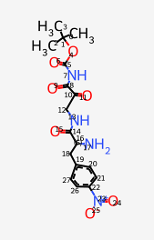 CC(C)(C)OC(=O)NC(=O)C(=O)CNC(=O)[C@@H](N)Cc1ccc([N+](=O)[O-])cc1